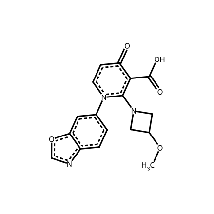 COC1CN(c2c(C(=O)O)c(=O)ccn2-c2ccc3ncoc3c2)C1